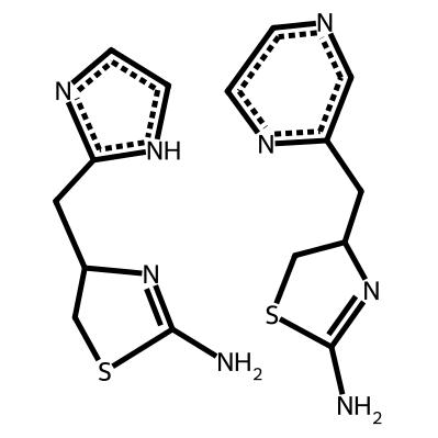 NC1=NC(Cc2cnccn2)CS1.NC1=NC(Cc2ncc[nH]2)CS1